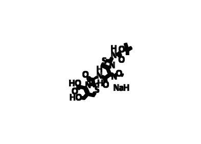 CO/N=C(/C(=O)N[C@@H]1C(=O)N2C(C(=O)O)=C(CO)CS[C@H]12)c1csc(NC(=O)OC(C)(C)C)n1.[NaH]